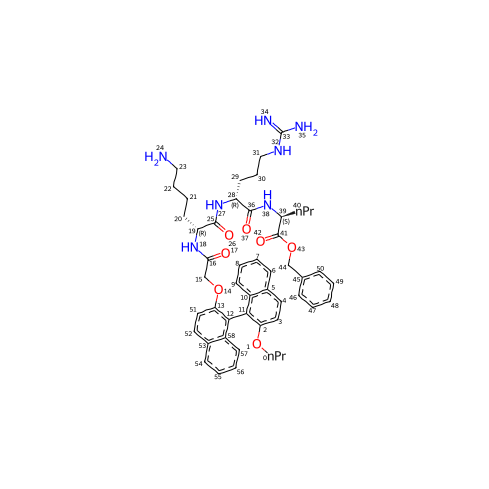 CCCOc1ccc2ccccc2c1-c1c(OCC(=O)N[C@H](CCCCN)C(=O)N[C@H](CCCNC(=N)N)C(=O)N[C@@H](CCC)C(=O)OCc2ccccc2)ccc2ccccc12